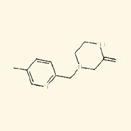 O=C1CN(Cc2ccc(I)cn2)CCN1